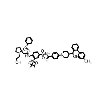 Cc1ccc(-c2ccccc2[C@H](O)C2CCN(c3ccc(C(=O)NS(=O)(=O)c4ccc(N[C@@H](CSc5ccccc5)C[C@]5(C)CCCN5CCO)c(S(=O)(=O)C(F)(F)F)c4)cc3)CC2)cc1